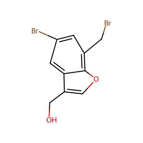 OCc1coc2c(CBr)cc(Br)cc12